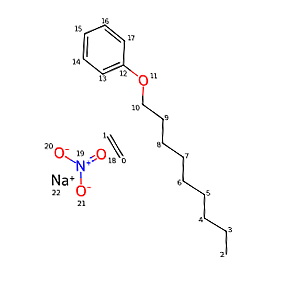 C=C.CCCCCCCCCOc1ccccc1.O=[N+]([O-])[O-].[Na+]